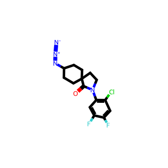 [N-]=[N+]=NC1CCC2(CC1)CCN(c1cc(F)c(F)cc1Cl)C2=O